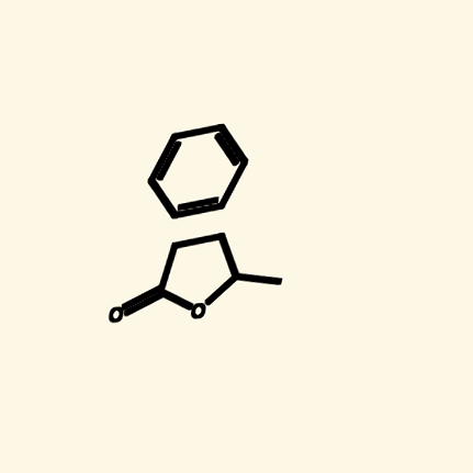 CC1CCC(=O)O1.c1ccccc1